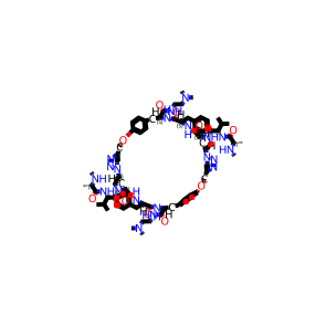 CN[C@@H](C)C(=O)N[C@H](C(=O)N1C[C@@H]2C[C@H]1C(=O)N[C@@H](Cc1ccccc1)C(=O)N[C@H](C(=O)NCCN(C)C)Cc1ccc(cc1)OCc1cn(nn1)[C@H]1C[C@@H](C(=O)N[C@@H](Cc3ccccc3)C(=O)N[C@H](C(=O)NCCN(C)C)Cc3ccc(cc3)OCc3cn2nn3)N(C(=O)[C@@H](NC(=O)[C@H](C)NC)C(C)C)C1)C(C)C